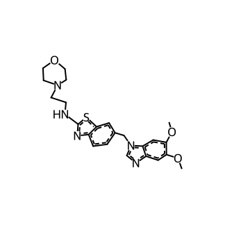 COc1cc2ncn(Cc3ccc4nc(NCCN5CCOCC5)sc4c3)c2cc1OC